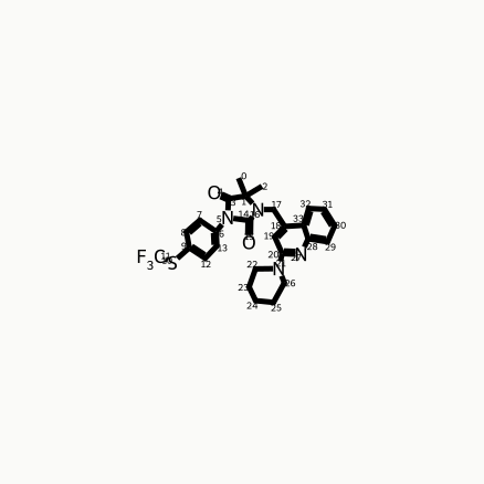 CC1(C)C(=O)N(c2ccc(SC(F)(F)F)cc2)C(=O)N1Cc1cc(N2CCCCC2)nc2ccccc12